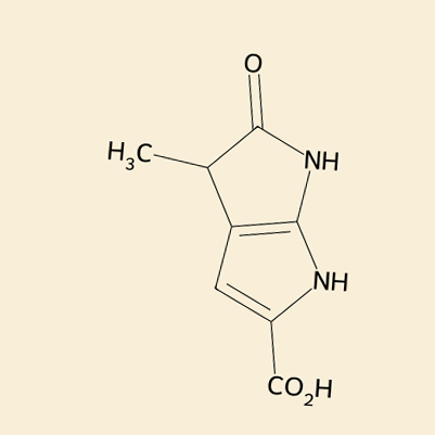 CC1C(=O)Nc2[nH]c(C(=O)O)cc21